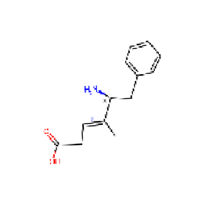 C/C(=C\CC(=O)O)[C@@H](N)Cc1ccccc1